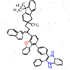 CC1(CCC(c2ccc3ccccc3c2)c2ccc(-c3ccc(C4=C(c5ccccc5)NC5C=CC=CC5N4)cc3)c3c2oc2ccccc23)C=CC2=C(C1)c1ccccc1C2(C)C